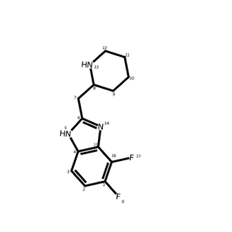 Fc1ccc2[nH]c(CC3CCCCN3)nc2c1F